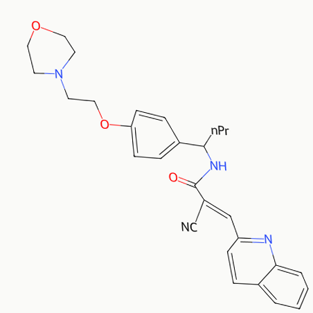 CCCC(NC(=O)/C(C#N)=C/c1ccc2ccccc2n1)c1ccc(OCCN2CCOCC2)cc1